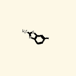 CC1=NC2C=CC(I)=CC2S1